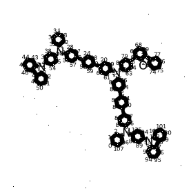 c1ccc(N(c2ccc(-c3ccc(-c4ccc(N(c5ccc(-c6ccc(-c7ccc(N(c8ccccc8)c8ccc(-n9c%10ccccc%10c%10ccccc%109)cc8)cc7)cc6)cc5)c5ccc(-c6cccc7c6oc6ccccc67)cc5)cc4)cc3)cc2)c2ccc(-n3c4ccccc4c4ccccc43)cc2)cc1